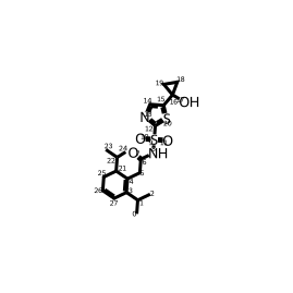 CC(C)C1=C(CC(=O)NS(=O)(=O)c2ncc(C3(O)CC3)s2)C(C(C)C)CC=C1